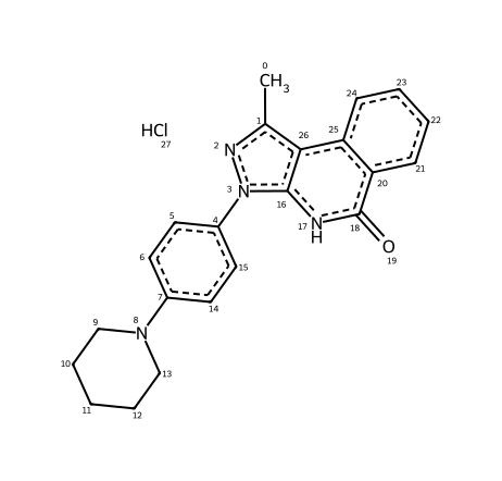 Cc1nn(-c2ccc(N3CCCCC3)cc2)c2[nH]c(=O)c3ccccc3c12.Cl